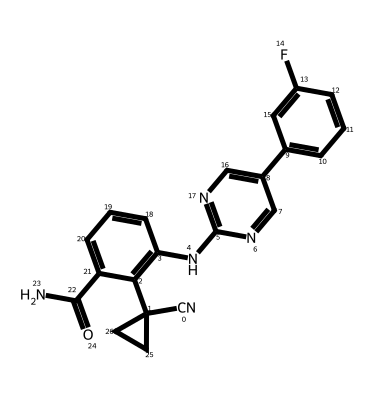 N#CC1(c2c(Nc3ncc(-c4cccc(F)c4)cn3)cccc2C(N)=O)CC1